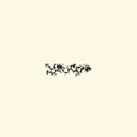 Cc1c(C2CN3CCN(C(=O)Cc4c(F)cc(-n5cnnn5)cc4F)CC3CN2)ccc(F)c1C#N